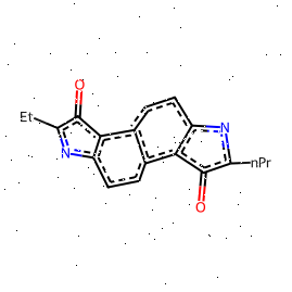 CCCc1nc2ccc3c(ccc4nc(CC)c(=O)c43)c2c1=O